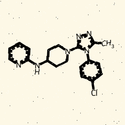 Cc1nnc(N2CCC(Nc3ccccn3)CC2)n1-c1ccc(Cl)cc1